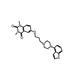 Cn1c(=O)c2cc(OCCCN3CCN(c4cccc5sccc45)CC3)ccc2n(C)c1=O